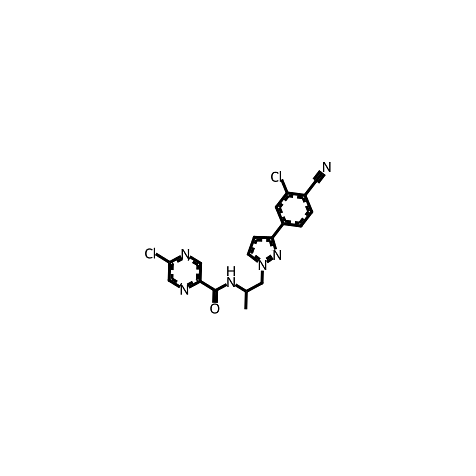 CC(Cn1ccc(-c2ccc(C#N)c(Cl)c2)n1)NC(=O)c1cnc(Cl)cn1